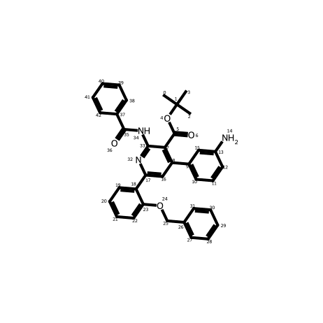 CC(C)(C)OC(=O)c1c(-c2cccc(N)c2)cc(-c2ccccc2OCc2ccccc2)nc1NC(=O)c1ccccc1